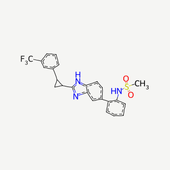 CS(=O)(=O)Nc1ccccc1-c1ccc2[nH]c(C3CC3c3cccc(C(F)(F)F)c3)nc2c1